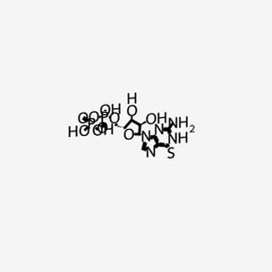 Nc1nc2c(ncn2[C@@H]2O[C@H](COP(=O)(O)OP(=O)(O)O)[C@@H](O)[C@H]2O)c(=S)[nH]1